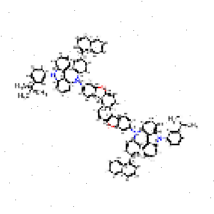 CC(C)c1cccc(-n2c3ccccc3c3c(N(c4ccc(-c5cccc6ccccc56)cc4)c4ccc5c(c4)oc4ccc6c(ccc7oc8cc(N(c9ccc(-c%10cccc%11ccccc%10%11)cc9)c9cccc%10c9c9ccccc9n%10-c9cccc(C(C)(C)C)c9)ccc8c76)c45)cccc32)c1